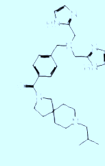 CC(C)CN1CCC2(CC1)CCN(C(=O)c1ccc(CN(Cc3ncc[nH]3)Cc3ncc[nH]3)cc1)C2